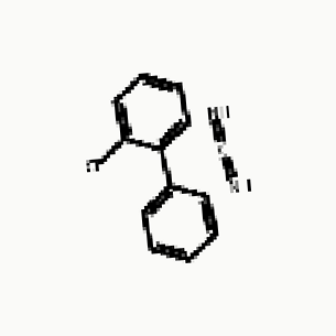 Clc1ccccc1-c1ccccc1.N=C=N